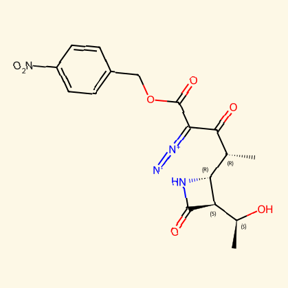 C[C@H](O)[C@H]1C(=O)N[C@@H]1[C@@H](C)C(=O)C(=[N+]=[N-])C(=O)OCc1ccc([N+](=O)[O-])cc1